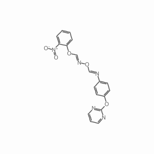 O=[N+]([O-])c1ccccc1O/C=N/O/C=N/c1ccc(Oc2ncccn2)cc1